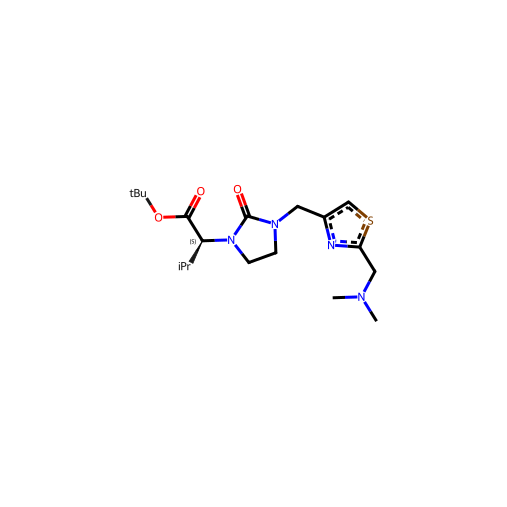 CC(C)[C@@H](C(=O)OC(C)(C)C)N1CCN(Cc2csc(CN(C)C)n2)C1=O